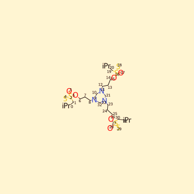 CC(C)CS(=O)(=S)OCCCN1CN(CCCOS(=O)(=S)CC(C)C)CN(CCCOS(=O)(=S)CC(C)C)C1